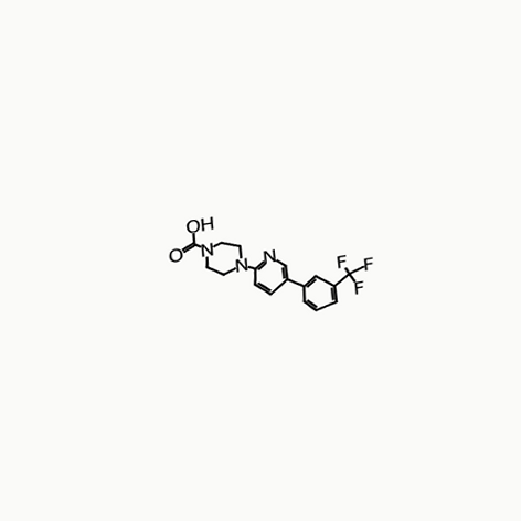 O=C(O)N1CCN(c2ccc(-c3cccc(C(F)(F)F)c3)cn2)CC1